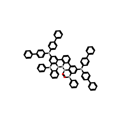 c1ccc(-c2ccc(N(c3ccc(-c4ccccc4)cc3)c3cc4c5c(c3)N(c3ccccc3)c3ccccc3B5N3B5c6ccccc6N(c6ccccc6)c6cc(N(c7ccc(-c8ccccc8)cc7)c7ccc(-c8ccccc8)cc7)cc(c65)-c5cccc-4c53)cc2)cc1